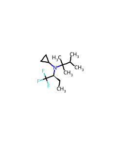 CC[C@H](N(C1CC1)C(C)(C)C(C)C)C(F)(F)F